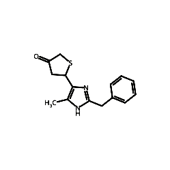 Cc1[nH]c(Cc2ccccc2)nc1C1CC(=O)CS1